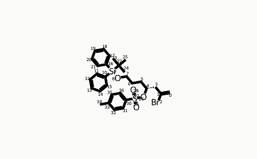 C=C(Br)C[C@@H](CCCO[Si](c1ccccc1)(c1ccccc1)C(C)(C)C)OS(=O)(=O)c1ccc(C)cc1